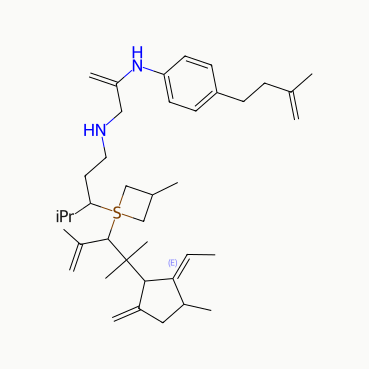 C=C(C)CCc1ccc(NC(=C)CNCCC(C(C)C)S2(C(C(=C)C)C(C)(C)C3C(=C)CC(C)/C3=C\C)CC(C)C2)cc1